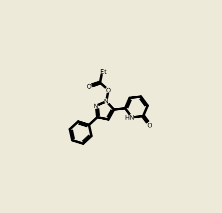 CCC(=O)On1nc(-c2ccccc2)cc1-c1cccc(=O)[nH]1